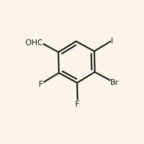 O=Cc1cc(I)c(Br)c(F)c1F